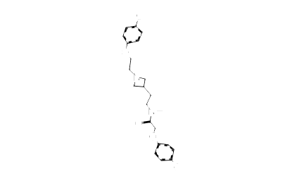 O=C(COc1ccc(Cl)cc1)NCCC1CN(CCOc2ccc(Cl)cc2)C1